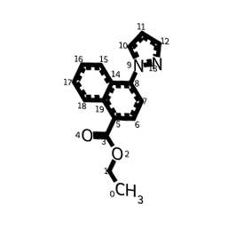 CCOC(=O)c1ccc(-n2cccn2)c2ccccc12